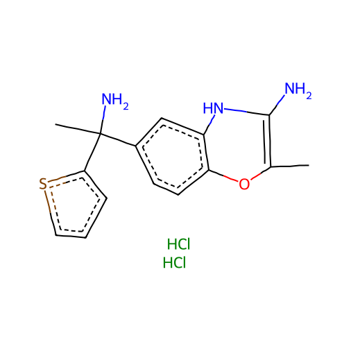 CC1=C(N)Nc2cc(C(C)(N)c3cccs3)ccc2O1.Cl.Cl